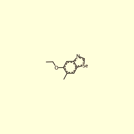 CCOc1cc2nc[se]c2cc1C